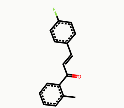 Cc1ccccc1C(=O)C=Cc1ccc(F)cc1